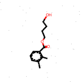 Cc1cccc(C(=O)OCCCCO)c1C